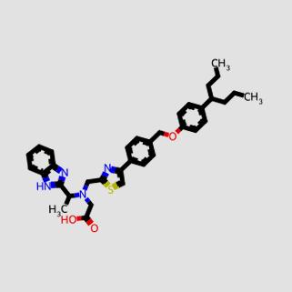 CCCC(CCC)c1ccc(OCc2ccc(-c3csc(CN(CC(=O)O)C(C)c4nc5ccccc5[nH]4)n3)cc2)cc1